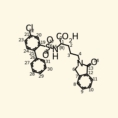 O=C(O)[C@@H](CCCN1Cc2ccccc2C1=O)NS(=O)(=O)c1cc(Cl)ccc1-c1ccccc1